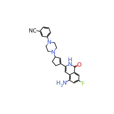 N#Cc1cccc(N2CCN(C3C=C(c4cc5c(N)cc(F)cc5c(=O)[nH]4)CC3)CC2)c1